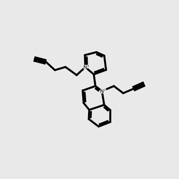 C#CCCC[n+]1ccccc1-c1ccc2ccccc2[n+]1CCC#C